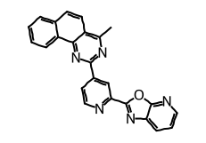 Cc1nc(-c2ccnc(-c3nc4cccnc4o3)c2)nc2c1ccc1ccccc12